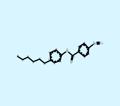 [C-]#[N+]c1ccc(C(=O)Oc2ccc(CCCCCC)cc2)cc1